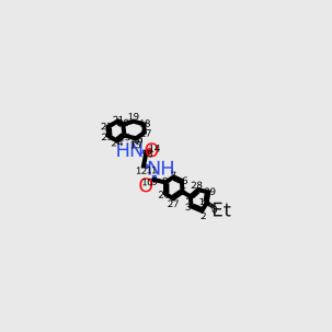 CCc1ccc(-c2ccc(C(=O)NCC(=O)N[C@H]3CCCc4ccccc43)cc2)cc1